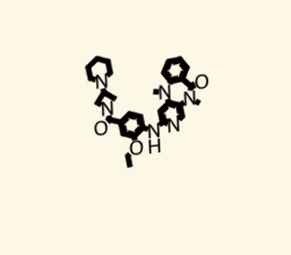 CCOc1cc(C(=O)N2CC(N3CCCCC3)C2)ccc1Nc1cc2c(cn1)N(C)C(=O)c1ccccc1N2C